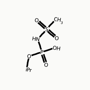 CC(C)OP(=O)(O)NS(C)(=O)=O